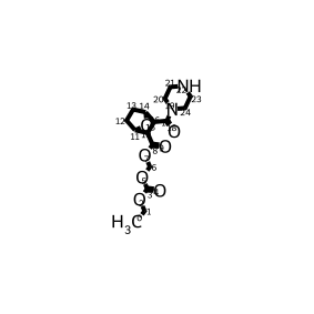 CCOC(=O)OCOC(=O)C1C2CCC(O2)C1C(=O)N1CCNCC1